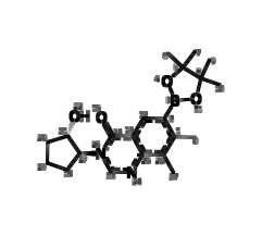 Cc1c(B2OC(C)(C)C(C)(C)O2)cc2c(=O)n([C@H]3CCC[C@@H]3O)cnc2c1C